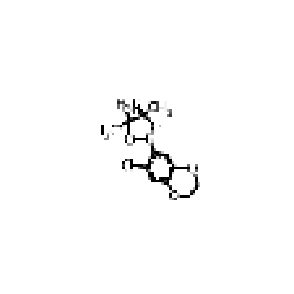 CC1(C)OB(c2cc3c(cc2Cl)OCCO3)OC1(C)C